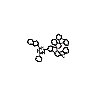 c1ccc(-c2nc(-c3ccc4c(c3)-c3ccc5oc6ccccc6c5c3C43c4ccccc4C4(c5ccccc5-c5ccccc54)c4ccccc43)nc(-c3ccc4ccccc4c3)n2)cc1